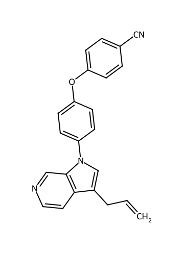 C=CCc1cn(-c2ccc(Oc3ccc(C#N)cc3)cc2)c2cnccc12